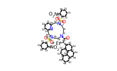 CCC(C(=O)N1CCCN(S(=O)(=O)c2ccccc2[N+](=O)[O-])Cc2cccc(n2)CN(S(=O)(=O)c2ccccc2[N+](=O)[O-])CC1)c1ccc2ccc3cccc4ccc1c2c34